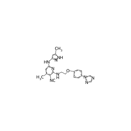 [C-]#[N+]c1c(C)cc(Nc2cc(C)[nH]n2)nc1NCCOc1ccc(-n2cncn2)cc1